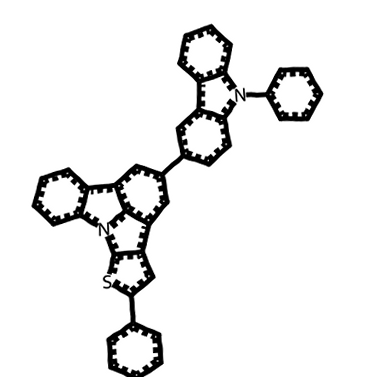 c1ccc(-c2cc3c4cc(-c5ccc6c(c5)c5ccccc5n6-c5ccccc5)cc5c6ccccc6n(c3s2)c54)cc1